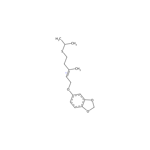 C/C(=C\COc1ccc2c(c1)OCO2)CCSC(C)C